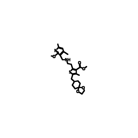 COC(=O)c1c(CCNCc2c(C)cc(C)nc2OC)sc(CC2CCC3(CC2)OCCO3)c1C